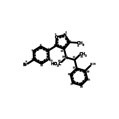 Cc1noc(-c2ccc(Br)cn2)c1N(C(=O)O)C(C)c1ccccc1F